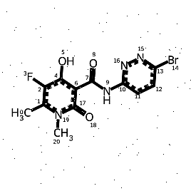 Cc1c(F)c(O)c(C(=O)Nc2ccc(Br)nn2)c(=O)n1C